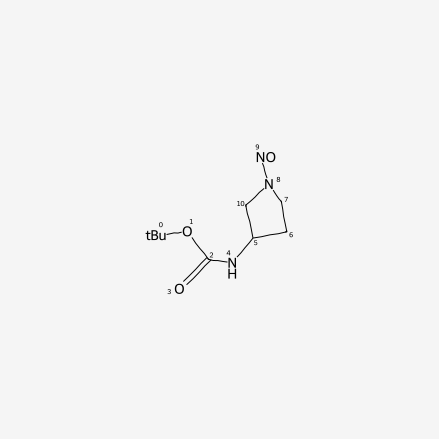 CC(C)(C)OC(=O)NC1CCN(N=O)C1